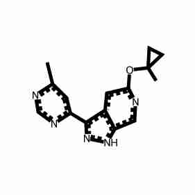 Cc1cc(-c2n[nH]c3cnc(OC4(C)CC4)cc23)ncn1